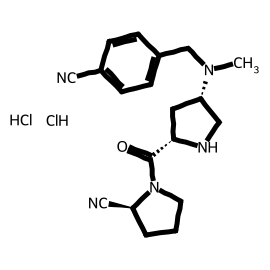 CN(Cc1ccc(C#N)cc1)[C@@H]1CN[C@H](C(=O)N2CCC[C@H]2C#N)C1.Cl.Cl